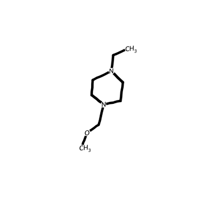 CCN1CCN(COC)CC1